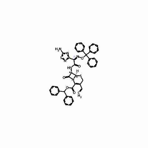 C=CC1=C(C(=O)OC(c2ccccc2)c2ccccc2)N2C(=O)[C@@H](NC(=O)/C(=N\OC(c3ccccc3)(c3ccccc3)c3ccccc3)c3nsc(N)n3)[C@H]2SC1